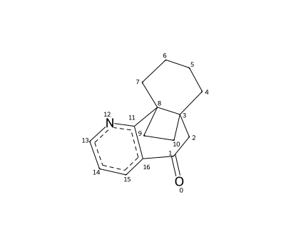 O=C1CC23CCCCC2(CC3)c2ncccc21